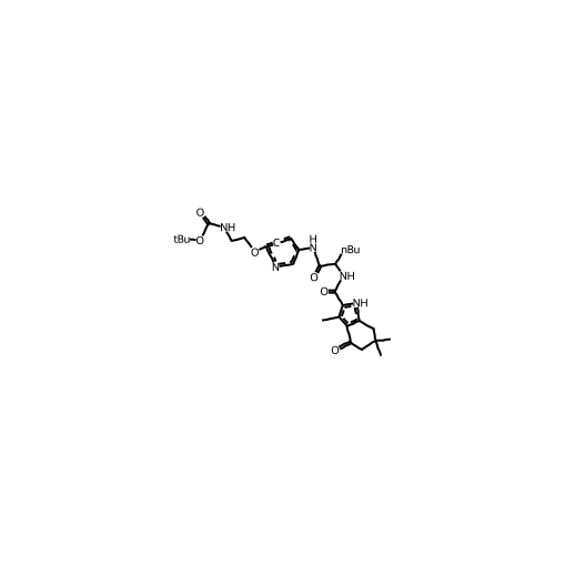 CCCCC(NC(=O)c1[nH]c2c(c1C)C(=O)CC(C)(C)C2)C(=O)Nc1ccc(OCCNC(=O)OC(C)(C)C)nc1